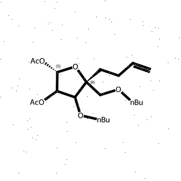 C=CCC[C@]1(COCCCC)O[C@@H](OC(C)=O)C(OC(C)=O)C1OCCCC